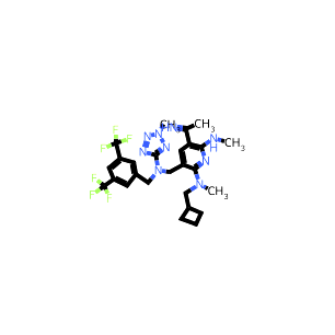 CNc1nc(N(C)CC2CCC2)c(CN(Cc2cc(C(F)(F)F)cc(C(F)(F)F)c2)c2nnn(C)n2)cc1C(C)=N